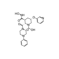 O=C(NO)[C@H]1C[C@H](Oc2cccnc2)CN(C(=O)O)[C@@H]1C(=O)N1CCN(c2ccccc2)CC1